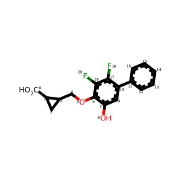 O=C(O)C1CC1COc1c(O)cc(-c2ccccc2)c(F)c1F